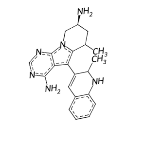 CC1Nc2ccccc2C=C1c1c2n(c3ncnc(N)c13)C[C@@H](N)CC2C